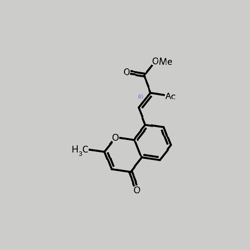 COC(=O)/C(=C/c1cccc2c(=O)cc(C)oc12)C(C)=O